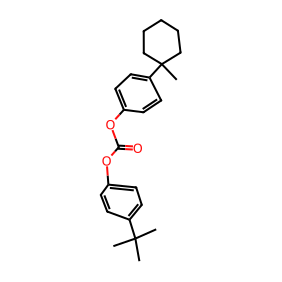 CC(C)(C)c1ccc(OC(=O)Oc2ccc(C3(C)CCCCC3)cc2)cc1